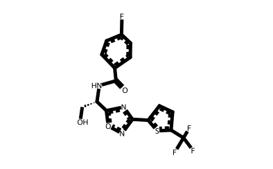 O=C(N[C@@H](CO)c1nc(-c2ccc(C(F)(F)F)s2)no1)c1ccc(F)cc1